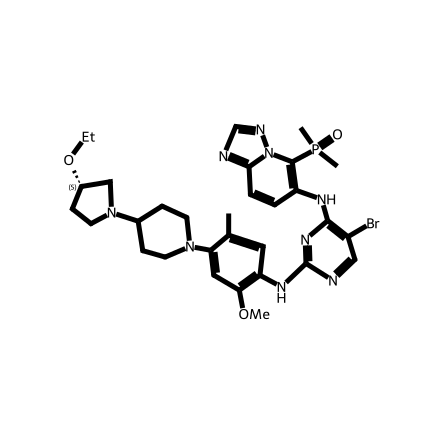 CCO[C@H]1CCN(C2CCN(c3cc(OC)c(Nc4ncc(Br)c(Nc5ccc6ncnn6c5P(C)(C)=O)n4)cc3C)CC2)C1